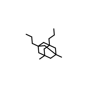 CCCC12CC3(C)CC(C)(C1)CC(CCC)(C3)C2